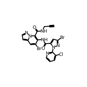 C#CCNC(=O)c1c(NC(=O)c2cc(Br)nn2-c2ncccc2Cl)c(Br)cc2ccnn12